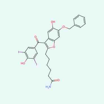 NC(=O)CCCCCc1oc2cc(OCc3ccccc3)c(O)cc2c1C(=O)c1cc(I)c(O)c(I)c1